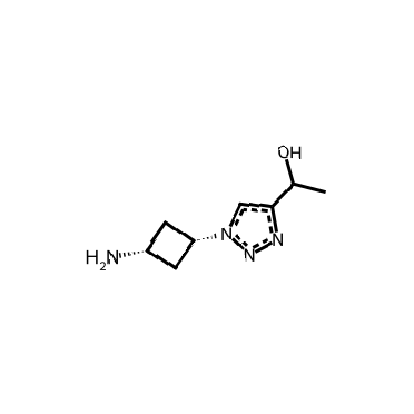 CC(O)c1cn([C@H]2C[C@@H](N)C2)nn1